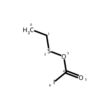 CCSOC(=O)I